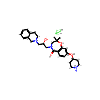 CC1(C)CN(C[C@H](O)CN2CCc3ccccc3C2)C(=O)c2ccc(OC3CCNCC3)cc2O1.Cl.Cl